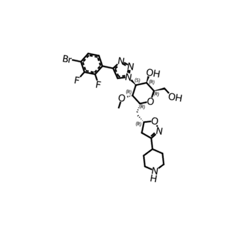 CO[C@@H]1[C@@H](n2cc(-c3ccc(Br)c(F)c3F)nn2)[C@@H](O)[C@@H](CO)O[C@@H]1C[C@H]1CC(C2CCNCC2)=NO1